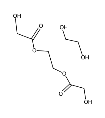 O=C(CO)OCCOC(=O)CO.OCCO